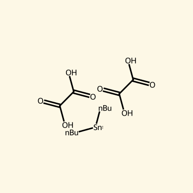 CCC[CH2][Sn][CH2]CCC.O=C(O)C(=O)O.O=C(O)C(=O)O